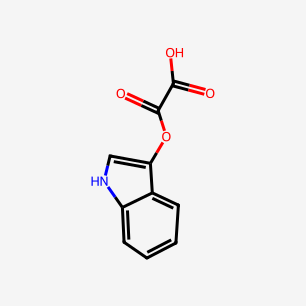 O=C(O)C(=O)Oc1c[nH]c2ccccc12